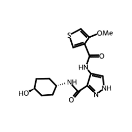 COc1cscc1C(=O)Nc1c[nH]nc1C(=O)N[C@H]1CC[C@H](O)CC1